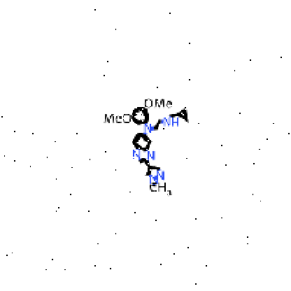 COc1cc(OC)cc(N(CCNCC2CC2)c2ccc3ncc(-c4cnn(C)c4)nc3c2)c1